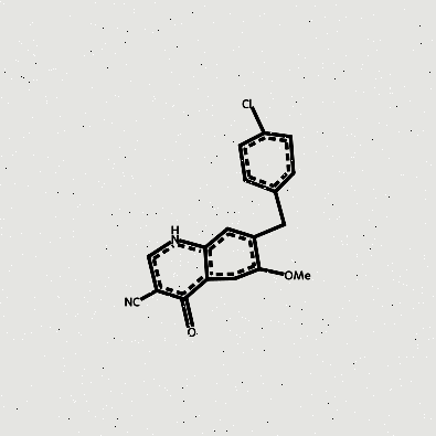 COc1cc2c(=O)c(C#N)c[nH]c2cc1Cc1ccc(Cl)cc1